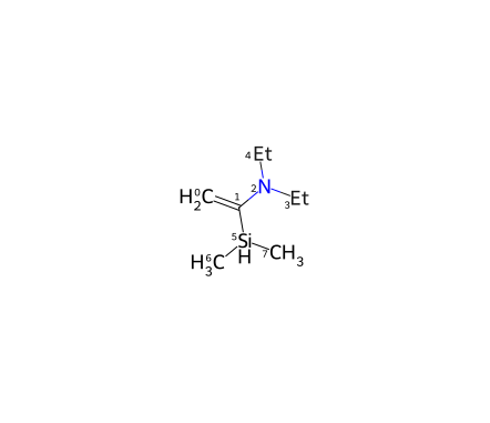 C=C(N(CC)CC)[SiH](C)C